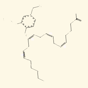 CCCCC/C=C\C/C=C\C/C=C\C/C=C\CCCC(=O)O.COc1cc(CN)ccc1O